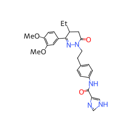 CCC1CC(=O)N(CCc2ccc(NC(=O)c3c[nH]cn3)cc2)N=C1c1ccc(OC)c(OC)c1